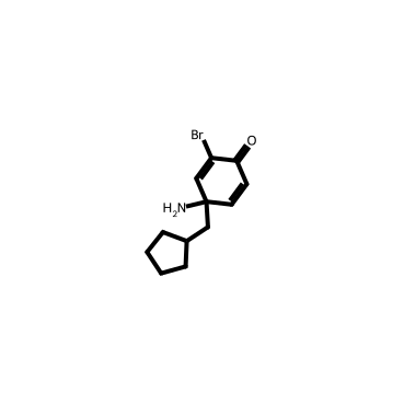 NC1(CC2CCCC2)C=CC(=O)C(Br)=C1